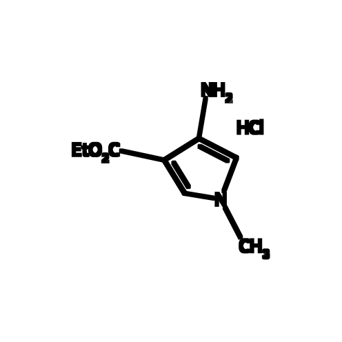 CCOC(=O)c1cn(C)cc1N.Cl